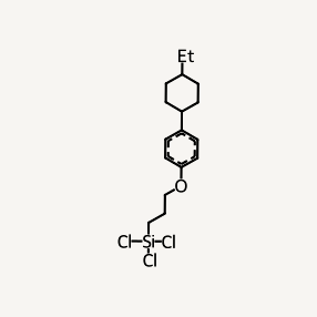 CCC1CCC(c2ccc(OCCC[Si](Cl)(Cl)Cl)cc2)CC1